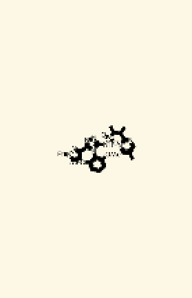 CCn1ccc(-c2nnc(NS(=O)(=O)C(C)C(C)c3ncc(C)cn3)n2-c2c(OC)cccc2OC)n1